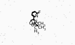 CCC(=N[S@+]([O-])C(C)(C)C)c1cccc(F)n1